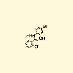 C=C(Nc1ccc(Br)cc1O)c1c(F)cccc1Cl